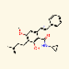 C=C(C)CCc1c(OC)cc(/C=C/c2ccccc2)c(C(=O)NC2CC2)c1O